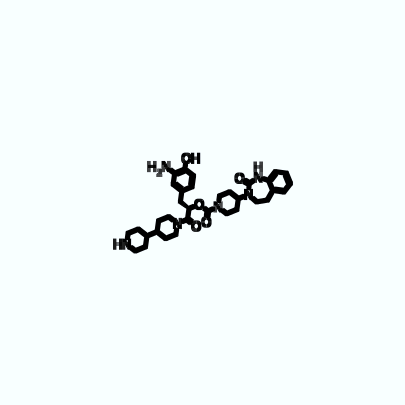 Nc1cc(C[C@@H](OC(=O)N2CCC(N3CCc4ccccc4NC3=O)CC2)C(=O)N2CCC(C3CCNCC3)CC2)ccc1O